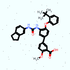 COc1ccc(-c2ccc(Oc3ccccc3C(C)(C)C)c(NC(=O)Nc3ccc4c(c3)CCC4)c2)cc1C(=O)O